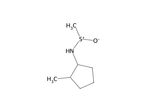 CC1CCCC1N[S+](C)[O-]